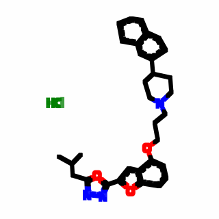 CC(C)Cc1nnc(-c2cc3c(OCCCN4CCC(c5ccc6ccccc6c5)CC4)cccc3o2)o1.Cl